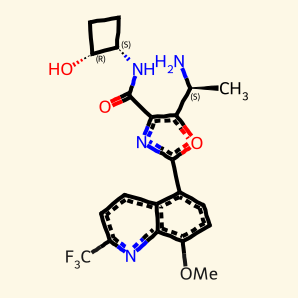 COc1ccc(-c2nc(C(=O)N[C@H]3CC[C@H]3O)c([C@H](C)N)o2)c2ccc(C(F)(F)F)nc12